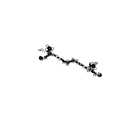 O=C(O)CC(NC(=O)[C@H](COCCOCCOCCOCCNS(=O)(=O)CCCCS(=O)(=O)NCCOCCOCCOCCOC[C@H](NC(=O)CCCCNc1ccccn1)C(=O)NC(CC(=O)O)c1cc(Cl)cc(Cl)c1)NC(=O)CCCCNc1ccccn1)c1cc(Cl)cc(Cl)c1